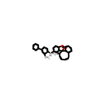 C=C1/C=C\C=C/Cc2ccccc2C12c1ccccc1-c1ccc(Nc3ccc(-c4ccccc4)cc3C)cc12